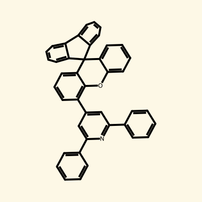 c1ccc(-c2cc(-c3cccc4c3Oc3ccccc3C43c4ccccc4-c4ccccc43)cc(-c3ccccc3)n2)cc1